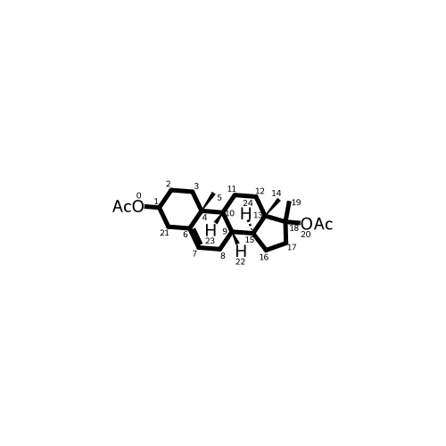 CC(=O)OC1CC[C@@]2(C)C(=CC[C@@H]3[C@H]2CC[C@@]2(C)[C@H]3CCC2(C)OC(C)=O)C1